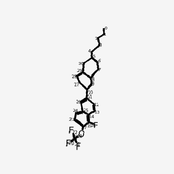 CCCCCC1CCC2CC(c3ccc4c(F)c(OC(F)(F)F)ccc4c3)CCC2C1